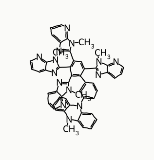 CN1c2ccccc2N(c2cccc(-c3c(-c4nc5cccnc5n4C)cc(-c4nc5cccnc5n4C)c(-c4nc5cccnc5n4C)c3-c3nc4cccnc4n3C)c2)c2ccccc21